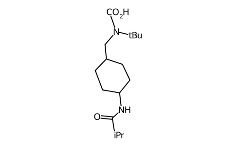 CC(C)C(=O)NC1CCC(CN(C(=O)O)C(C)(C)C)CC1